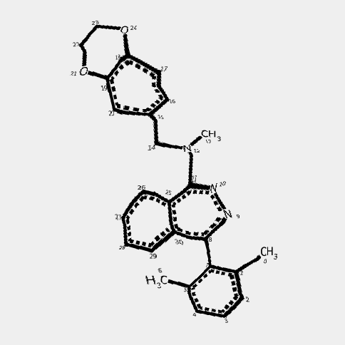 Cc1cccc(C)c1-c1nnc(N(C)Cc2ccc3c(c2)OCCO3)c2ccccc12